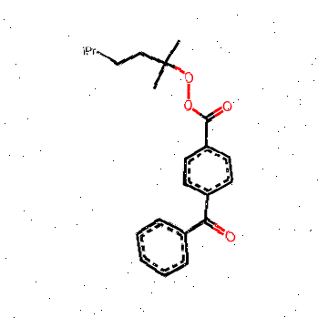 CC(C)CCC(C)(C)OOC(=O)c1ccc(C(=O)c2ccccc2)cc1